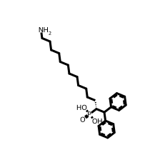 NCCCCCCCCCCCC[C@H](C(c1ccccc1)c1ccccc1)P(=O)(O)O